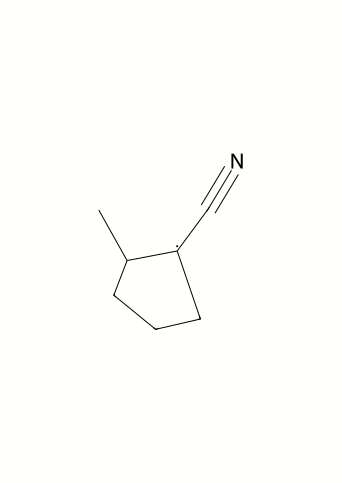 CC1CCC[C]1C#N